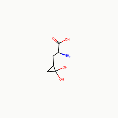 N[C@@H](CC1CC1(O)O)C(=O)O